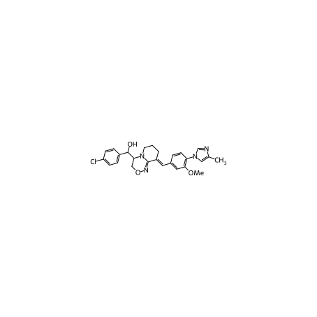 COc1cc(/C=C2\CCCN3C2=NOCC3C(O)c2ccc(Cl)cc2)ccc1-n1cnc(C)c1